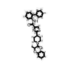 CC(Oc1ccccc1)C(=O)N1CCC(c2nc(C(=O)Nc3ccccc3-c3ccccc3)cs2)CC1